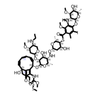 CCN[C@H]1CO[C@@H](O[C@H]2[C@H](O[C@H]3C#C/C=C\C#C[C@]4(O)CC(=O)C(NC(=O)OC)=C3/C4=C\CSSSC)O[C@@H](C)[C@@H](NO[C@H]3C[C@H](O)[C@H](SC(=O)c4c(C)c(I)c(O[C@@H]5O[C@@H](C)[C@H](O)[C@@H](OC)[C@H]5O)c(OC)c4OC)[C@@H](C)O3)[C@@H]2O)C[C@@H]1OC